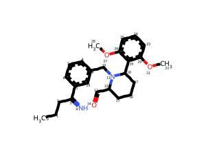 CCCC(=N)c1cccc(CN2C(C=O)CCCC2c2c(OC)cccc2OC)c1